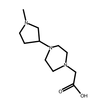 CN1CCC(N2CCN(CC(=O)O)CC2)C1